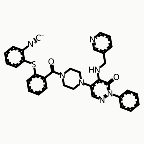 [C-]#[N+]c1ccccc1Sc1ccccc1C(=O)N1CCN(c2cnn(-c3ccccc3)c(=O)c2NCc2cccnc2)CC1